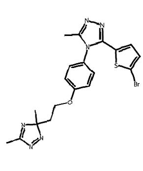 CC1=NC(C)(CCOc2ccc(-n3c(C)nnc3-c3ccc(Br)s3)cc2)N=N1